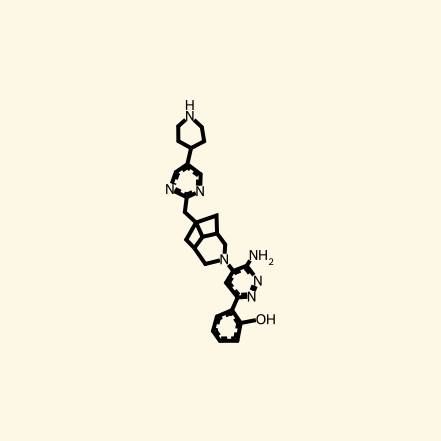 Nc1nnc(-c2ccccc2O)cc1N1CC2CC3(Cc4ncc(C5CCNCC5)cn4)CC(C1)C23